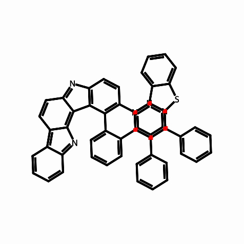 c1ccc(-c2nnnc(-c3ccccc3-c3c(-c4cccc5sc6ccccc6c45)ccc4c3-c3c5c(ccc3=N4)=c3ccccc3=N5)c2-c2ccccc2)cc1